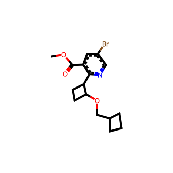 COC(=O)c1cc(Br)cnc1C1CCC1OCC1CCC1